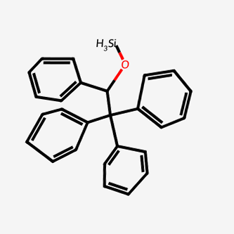 [SiH3]OC(c1ccccc1)C(c1ccccc1)(c1ccccc1)c1ccccc1